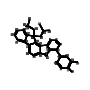 Cc1cnc(-c2cccc3c2oc2ccc4c(c23)C(CC(C)C)(CC(C)C)c2ccccc2-4)cc1C